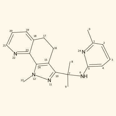 Cc1cccc(NC(C)(C)c2nn(C)c3c2CCc2cccnc2-3)n1